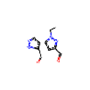 CCn1ccc(C=O)n1.O=Cc1ccn[nH]1